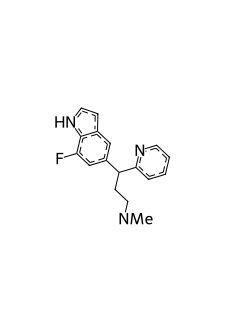 CNCCC(c1cc(F)c2[nH]ccc2c1)c1ccccn1